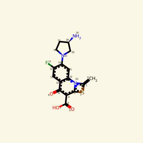 C=c1sc2c(C(=O)O)c(=O)c3cc(F)c(N4CC[C@@H](N)C4)cc3n12